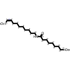 CCCCCCCC/C=C\CCCCCCCCNC(=O)CCCCCCCCCCCCCCCCC